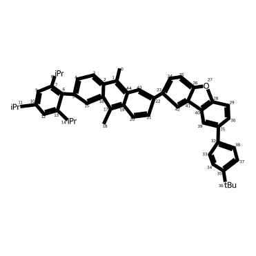 Cc1c2ccc(-c3c(C(C)C)cc(C(C)C)cc3C(C)C)cc2c(C)c2ccc(-c3ccc4oc5ccc(-c6ccc(C(C)(C)C)cc6)cc5c4c3)cc12